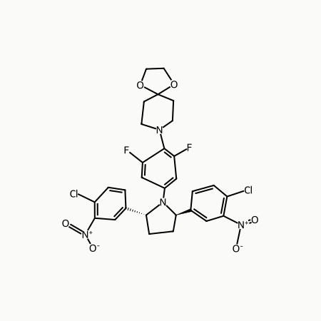 O=[N+]([O-])c1cc([C@H]2CC[C@H](c3ccc(Cl)c([N+](=O)[O-])c3)N2c2cc(F)c(N3CCC4(CC3)OCCO4)c(F)c2)ccc1Cl